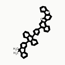 CC1(C)c2ccccc2-c2cc(-c3c4ccccc4c(-c4ccc(-c5cc6oc7c(ccc8sc9ccccc9c87)c6c6ccccc56)cc4)c4ccccc34)ccc21